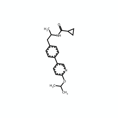 CC(Cc1ccc(-c2ccc(OC(C)C)nc2)cc1)NC(=O)C1CC1